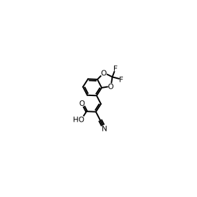 N#CC(=Cc1cccc2c1OC(F)(F)O2)C(=O)O